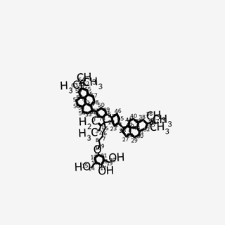 C=C(CC)C1(CCCCCOc2cc(CO)c(O)c(CO)c2)c2cc(-c3ccc4ccc5cc(C(C)(C)C)cc6ccc3c4c56)ccc2-c2ccc(-c3ccc4ccc5cc(C(C)(C)C)cc6ccc3c4c56)cc21